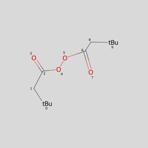 CC(C)(C)CC(=O)OOC(=O)CC(C)(C)C